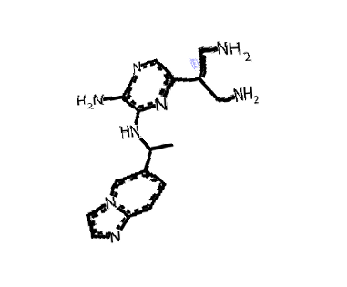 CC(Nc1nc(/C(=C/N)CN)cnc1N)c1ccc2nccn2c1